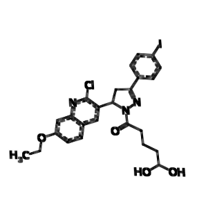 CCOc1ccc2cc(C3CC(c4ccc(I)cc4)=NN3C(=O)CCCC(O)O)c(Cl)nc2c1